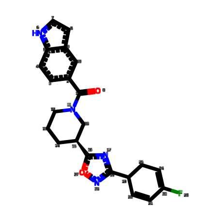 O=C(c1ccc2[nH]ccc2c1)N1CCC[C@H](c2nc(C3C=CC(F)=CC3)no2)C1